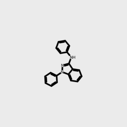 c1ccc(Nc2nn(-c3ccccc3)c3ccccc23)cc1